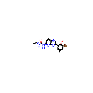 CCNC(=O)Nc1ccc2ncc(-c3cc(C)cc(Br)c3OC)nc2n1